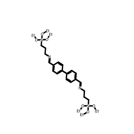 CCO[Si](CCC/N=C/c1ccc(-c2ccc(/C=N/CCC[Si](OCC)(OCC)OCC)cc2)cc1)(OCC)OCC